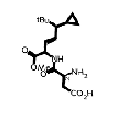 COC(=O)C(C=CC(C1CC1)C(C)(C)C)NC(=O)[C@@H](N)CC(=O)O